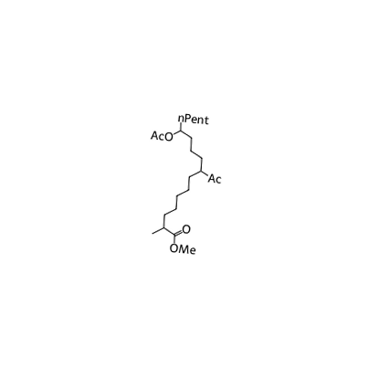 CCCCCC(CCCC(CCCCCC(C)C(=O)OC)C(C)=O)OC(C)=O